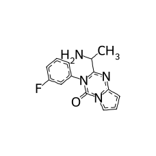 CC(N)c1nc2cccn2c(=O)n1-c1cccc(F)c1